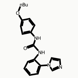 CCCCOc1ccc(NC(=O)Nc2ccccc2-n2ccnc2)cc1